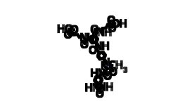 CC(=O)C(/N=N/c1ccc(C(=O)Nc2cc(C(=O)NCCCS(=O)(=O)O)cc(C(=O)NCCCS(=O)(=O)O)c2)cc1)C(=O)Nc1ccc2[nH]c(=O)[nH]c2c1